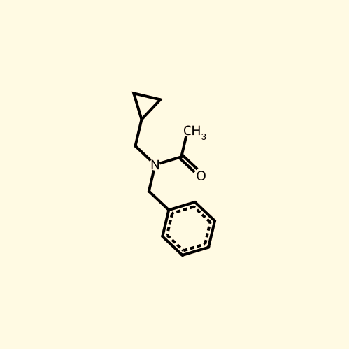 CC(=O)N(Cc1ccccc1)CC1CC1